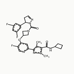 Cc1c(-c2cc(OC3CN(C(=O)N4N=CCC4c4cc(F)cc(F)c4)C3)c(F)cn2)nn(C)c1C(=O)NC1CCC1